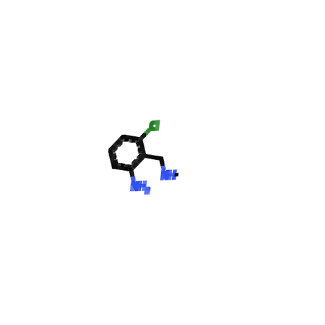 [NH]Cc1c(N)cccc1Cl